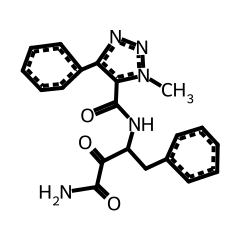 Cn1nnc(-c2ccccc2)c1C(=O)NC(Cc1ccccc1)C(=O)C(N)=O